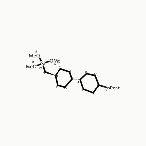 CCCCCC1CCC([C@H]2CC[C@H](C[Si](OC)(OC)OC)CC2)CC1